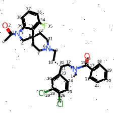 CC(=O)N1CC2(CCN(CC[C@H](CN(C)C(=O)c3ccccc3)c3ccc(Cl)c(Cl)c3)CC2)c2c(F)cccc21